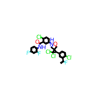 C=C(F)c1cc(C2C(Cl)(Cl)C2(C=O)CNc2ccc(Cl)c(C(=O)Nc3ccc(F)cc3F)c2)ccc1Cl